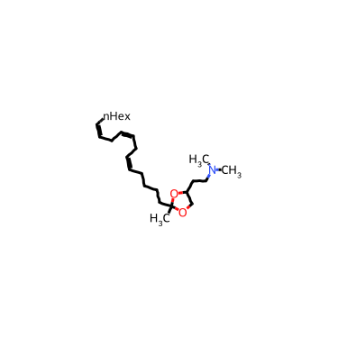 CCCCCC/C=C\C/C=C\C/C=C\CCCCC1(C)OCC(CCN(C)C)O1